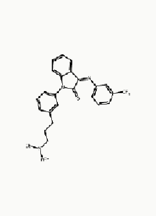 CCCN(CC)CCCc1cccc(N2C(=O)C(=Nc3cccc(C(F)(F)F)c3)c3ccccc32)c1